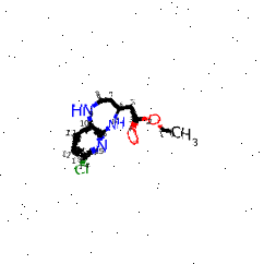 CCOC(=O)CC1CCNc2ccc(Cl)nc2N1